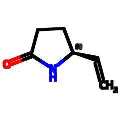 C=C[C@@H]1CCC(=O)N1